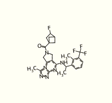 Cc1c(C(C)Nc2nc3nnc(C)n3c3c2CN(C(=O)C24CC(F)C(C2)C4)C3)cccc1C(F)(F)F